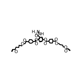 C=CC(=O)CCCCOCC(=O)C1CCC(C(=O)Oc2ccc(OC(=O)C3CCC(C(=O)OCCCCOC(=O)C=C)CC3)cc2C(=O)NN)CC1